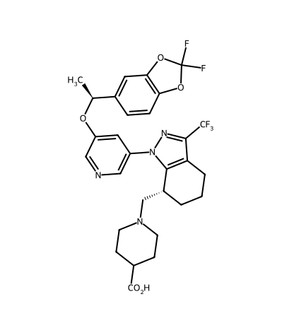 C[C@H](Oc1cncc(-n2nc(C(F)(F)F)c3c2[C@@H](CN2CCC(C(=O)O)CC2)CCC3)c1)c1ccc2c(c1)OC(F)(F)O2